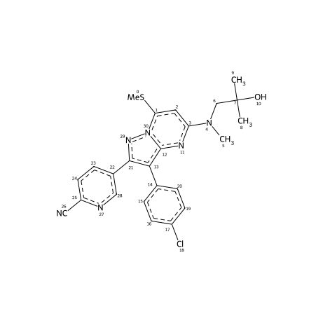 CSc1cc(N(C)CC(C)(C)O)nc2c(-c3ccc(Cl)cc3)c(-c3ccc(C#N)nc3)nn12